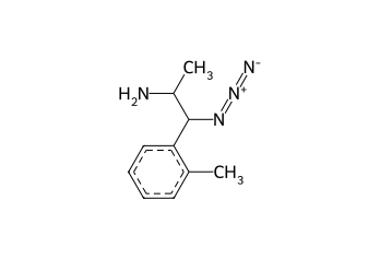 Cc1ccccc1C(N=[N+]=[N-])C(C)N